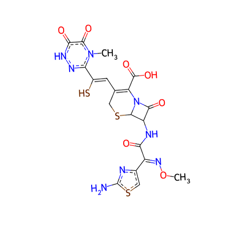 CON=C(C(=O)NC1C(=O)N2C(C(=O)O)=C(C=C(S)c3n[nH]c(=O)c(=O)n3C)CSC12)c1csc(N)n1